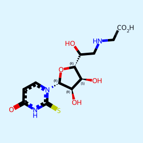 O=C(O)CNCC(O)[C@H]1O[C@@H](n2ccc(=O)[nH]c2=S)[C@H](O)[C@@H]1O